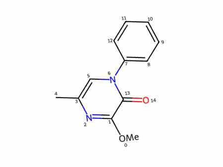 COc1nc(C)cn(-c2ccccc2)c1=O